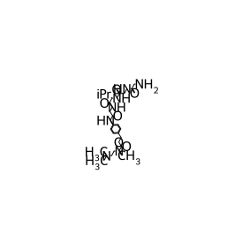 CC(C)C(NC(=O)CNC(=O)CN)C(=O)NCC(=O)Nc1ccc(COC(=O)N(C)CCN(C)C)cc1